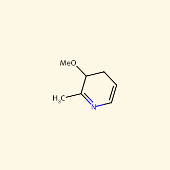 COC1CC=CN=C1C